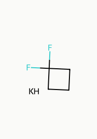 FC1(F)CCC1.[KH]